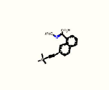 CON=C(C(=O)O)c1cccc2ccc(C#C[Si](C)(C)C)cc12